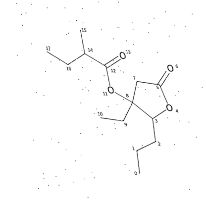 CCCC1OC(=O)CC1(CC)OC(=O)C(C)CC